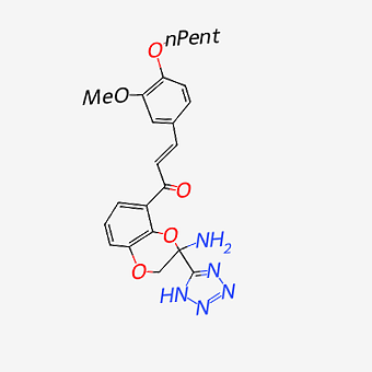 CCCCCOc1ccc(C=CC(=O)c2cccc3c2OC(N)(c2nnn[nH]2)CO3)cc1OC